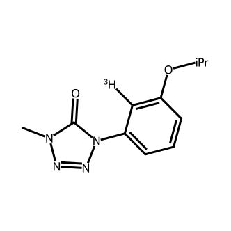 [3H]c1c(OC(C)C)cccc1-n1nnn(C)c1=O